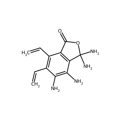 C=Cc1c(N)c(N)c2c(c1C=C)C(=O)OC2(N)N